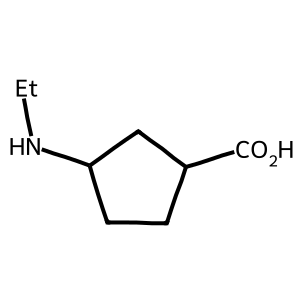 CCNC1CCC(C(=O)O)C1